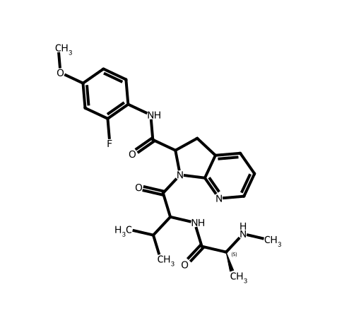 CN[C@@H](C)C(=O)NC(C(=O)N1c2ncccc2CC1C(=O)Nc1ccc(OC)cc1F)C(C)C